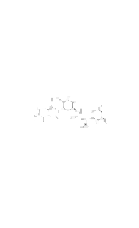 O=C(Nc1ccc(Cl)cc1)c1cc(NC(=O)[C@H]2[C@H](c3cc(Cl)cc(Cl)c3)C2(Cl)Cl)ccc1Cl